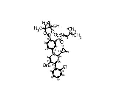 CN(C)C=NS(=O)(=O)c1cc(N2C=C(Br)C(c3ccccc3Cl)=NC2C2CC2)ccc1B1OC(C)(C)C(C)(C)O1